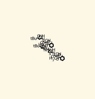 CC(C)(C)c1cc(N)no1.CC(C)(C)c1cc(NC(=O)C(C)(C)S(=O)(=O)c2ccccc2)no1.CC(C)(C)c1csc(NC(=O)C(C)(C)S(=O)(=O)c2ccccc2)n1